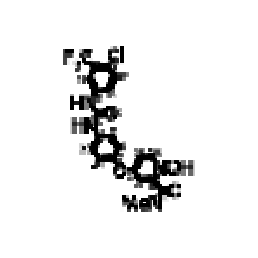 CNC(=O)C1=CC(Oc2ccc(NC(=O)Nc3ccc(Cl)c(C(F)(F)F)c3)cc2)=CCN1O